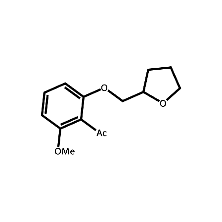 COc1cccc(OCC2CCCO2)c1C(C)=O